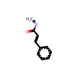 C=NC(=O)C=Cc1ccccc1